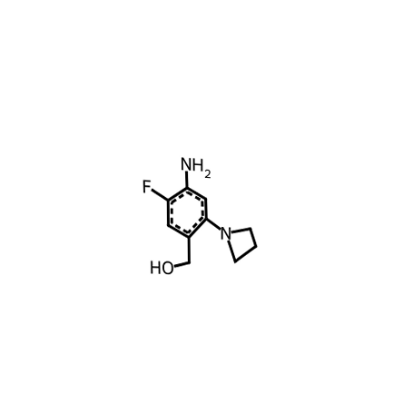 Nc1cc(N2CCC2)c(CO)cc1F